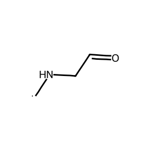 [CH2]NCC=O